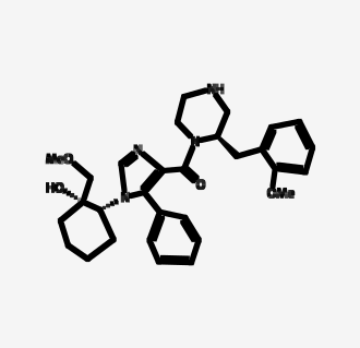 COC[C@]1(O)CCCC[C@H]1n1cnc(C(=O)N2CCNC[C@H]2Cc2ccccc2OC)c1-c1ccccc1